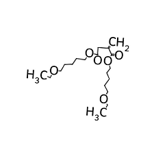 C=C(CC(=O)OCCCCCOCC)C(=O)OCCCCCOCC